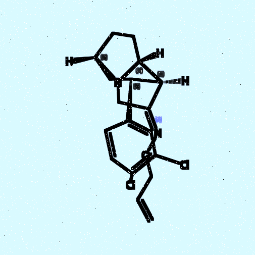 C=CCO/N=C1\CN2[C@H]3CC[C@@H]2[C@@H]1[C@@H](c1ccc(Cl)c(Cl)c1)C3